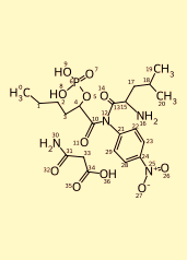 CCCCC(OP(=O)(O)O)C(=O)N(C(=O)C(N)CC(C)C)c1ccc([N+](=O)[O-])cc1.NC(=O)CC(=O)O